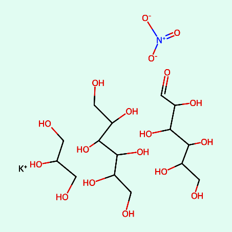 O=CC(O)C(O)C(O)C(O)CO.O=[N+]([O-])[O-].OCC(O)C(O)C(O)C(O)CO.OCC(O)CO.[K+]